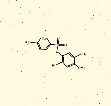 COc1cc(C(C)C)c(OS(=O)(=O)c2ccc(C)cc2)cc1C